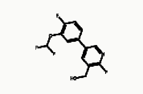 OCc1cc(-c2ccc(F)c(OC(F)F)c2)cnc1F